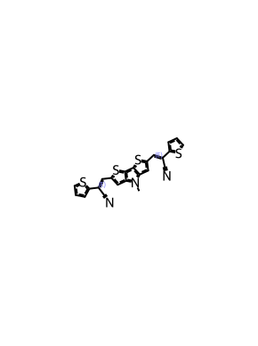 Cn1c2cc(/C=C(\C#N)c3cccs3)sc2c2sc(/C=C(\C#N)c3cccs3)cc21